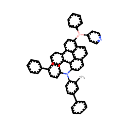 Cc1cc(-c2ccccc2)ccc1N(c1ccc(-c2ccccc2)cc1)c1ccc2ccc3c(B(c4ccccc4)c4ccncc4)ccc4c5ccccc5c1c2c34